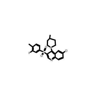 Cc1ccc(S(=O)(=O)c2cnc3ccc(Cl)cc3c2N2CCC(C)CC2)cc1F